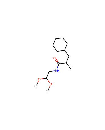 CCOC(CNC(=O)C(C)CC1CCCCC1)OCC